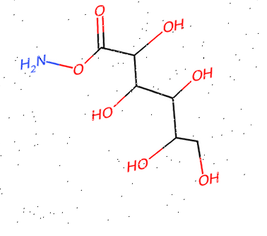 NOC(=O)C(O)C(O)C(O)C(O)CO